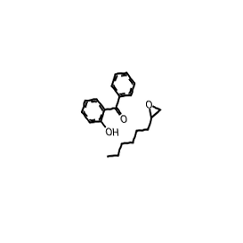 CCCCCCC1CO1.O=C(c1ccccc1)c1ccccc1O